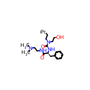 CC(C)CCN(CCO)C(=O)N[C@@H](Cc1ccccc1)C(=O)NCCN(C)C